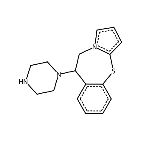 c1ccc2c(c1)Sc1cccn1CC2N1CCNCC1